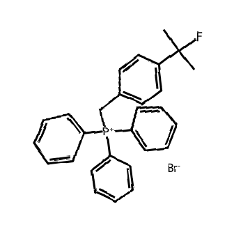 CC(C)(F)c1ccc(C[P+](c2ccccc2)(c2ccccc2)c2ccccc2)cc1.[Br-]